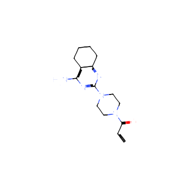 C=CC(=O)N1CCN(c2nc(N)c3c(n2)CCCC3)CC1